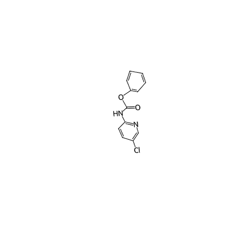 O=C(Nc1ccc(Cl)cn1)Oc1ccccc1